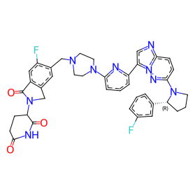 O=C1CCC(N2Cc3cc(CN4CCN(c5cccc(-c6cnc7ccc(N8CCC[C@@H]8c8cccc(F)c8)nn67)n5)CC4)c(F)cc3C2=O)C(=O)N1